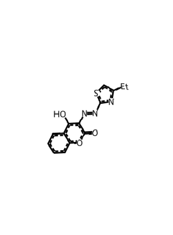 CCc1csc(N=Nc2c(O)c3ccccc3oc2=O)n1